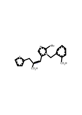 CCCCc1ncc(/C=C(\Cc2cccs2)C(=O)O)n1Cc1ccccc1C(=O)O